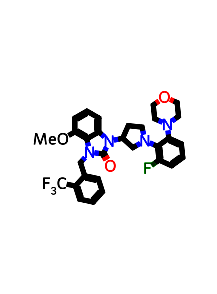 COc1cccc2c1n(Cc1ccccc1C(F)(F)F)c(=O)n2C1CCN(c2c(F)cccc2N2CCOCC2)C1